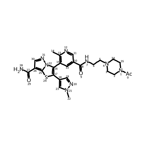 CC(=O)N1CCN(CCNC(=O)c2cnc(C)c(-c3c(-c4cnn(C)c4)sc4c(C(N)=O)cnn34)c2)CC1